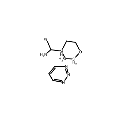 CCC(N)[SiH]1CCO[SiH2][SiH2]1.c1cnnnc1